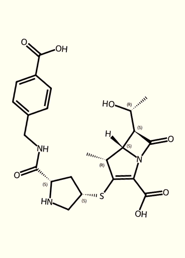 C[C@@H](O)[C@H]1C(=O)N2C(C(=O)O)=C(S[C@@H]3CN[C@H](C(=O)NCc4ccc(C(=O)O)cc4)C3)[C@H](C)[C@H]12